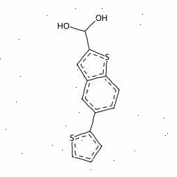 OC(O)c1cc2cc(-c3cccs3)ccc2s1